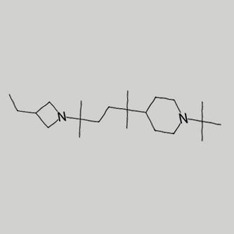 CCC1CN(C(C)(C)CCC(C)(C)C2CCN(C(C)(C)C)CC2)C1